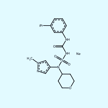 CC(C)c1cccc(NC(=O)NS(=O)(=O)N(c2cnn(C)c2)C2CCOCC2)c1.[Na]